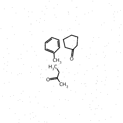 CCC(C)=O.Cc1ccccc1.O=C1CCCCC1